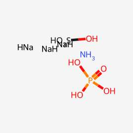 N.O=P(O)(O)O.O=S(=O)(O)O.[NaH].[NaH].[NaH]